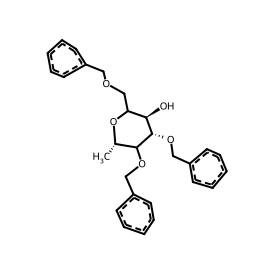 C[C@@H]1OC(COCc2ccccc2)[C@@H](O)[C@H](OCc2ccccc2)C1OCc1ccccc1